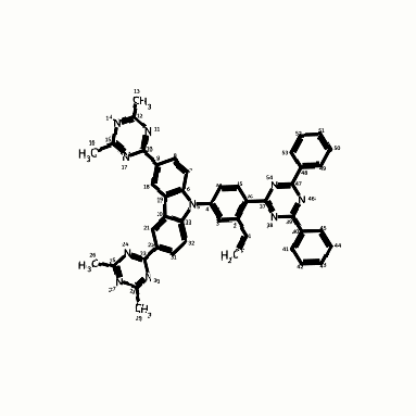 C=Cc1cc(-n2c3ccc(-c4nc(C)nc(C)n4)cc3c3cc(-c4nc(C)nc(C)n4)ccc32)ccc1-c1nc(-c2ccccc2)nc(-c2ccccc2)n1